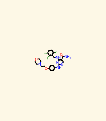 NC(=O)c1cnc(Nc2ccc(OCCN3CCOCC3)cc2)nc1NCc1c(F)ccc(F)c1F